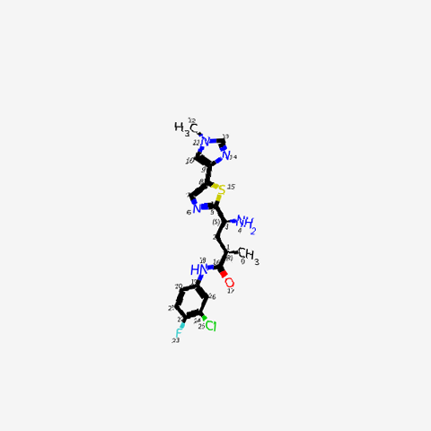 C[C@H](C[C@H](N)c1ncc(-c2cn(C)cn2)s1)C(=O)Nc1ccc(F)c(Cl)c1